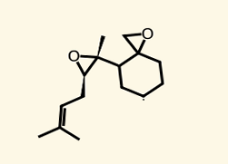 CC(C)=CC[C@H]1O[C@]1(C)C1C[CH]CCC12CO2